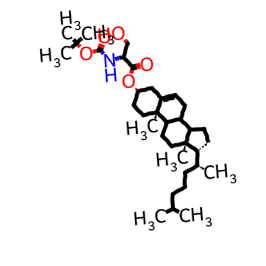 CC(C)CCC[C@@H](C)[C@H]1CCC2C3CC=C4C[C@@H](OC(=O)C(CO)NC(=O)OC(C)(C)C)CC[C@]4(C)C3CC[C@@]21C